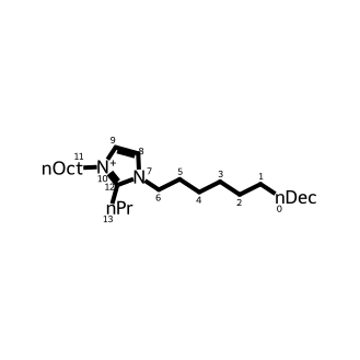 CCCCCCCCCCCCCCCCn1cc[n+](CCCCCCCC)c1CCC